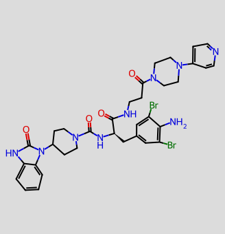 Nc1c(Br)cc(C[C@@H](NC(=O)N2CCC(n3c(=O)[nH]c4ccccc43)CC2)C(=O)NCCC(=O)N2CCN(c3ccncc3)CC2)cc1Br